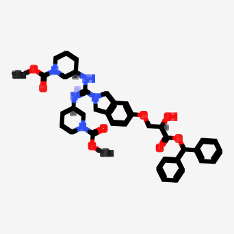 CC(C)(C)OC(=O)N1CCC[C@@H](/N=C(/N[C@@H]2CCCN(C(=O)OC(C)(C)C)C2)N2Cc3ccc(OC[C@@H](O)C(=O)OC(c4ccccc4)c4ccccc4)cc3C2)C1